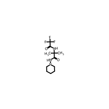 CC(C)(NC(=O)C(F)(F)F)C(=O)NN1CCCCC1